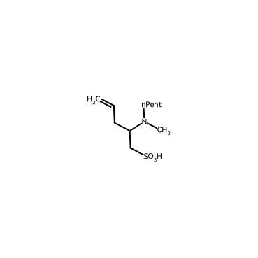 C=CCC(CS(=O)(=O)O)N(C)CCCCC